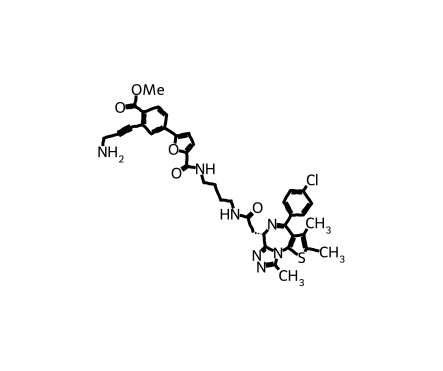 COC(=O)c1ccc(-c2ccc(C(=O)NCCCCNC(=O)C[C@@H]3N=C(c4ccc(Cl)cc4)c4c(sc(C)c4C)-n4c(C)nnc43)o2)cc1C#CCN